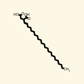 CCCCCCCCCCCCCCCCCCCCCCC=CC(CC(=O)O)C(=O)O